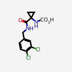 O=C(O)NC1(C(=O)NCc2ccc(Cl)c(Cl)c2)CC1